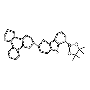 CC1(C)OB(c2cccc3c2sc2ccc(-c4ccc5c6ccccc6c6ccccc6c5c4)cc23)OC1(C)C